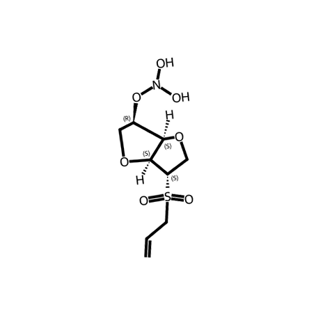 C=CCS(=O)(=O)[C@H]1CO[C@H]2[C@@H]1OC[C@H]2ON(O)O